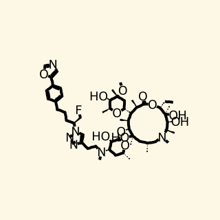 CC[C@H]1OC(=O)[C@H](C)C([C@H]2C[C@@](C)(OC)[C@@H](O)[C@H](C)O2)[C@H](C)[C@@H](O[C@@H]2O[C@H](C)C[C@H](N(C)CCc3cn([C@H](CF)CCCc4ccc(-c5cnco5)cc4)nn3)[C@H]2O)[C@](C)(O)C[C@@H](C)CN(C)[C@H](C)[C@@H](O)[C@]1(C)O